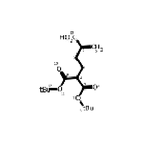 C=C(CCC(C(=O)OC(C)(C)C)C(=O)OC(C)(C)C)C(=O)O